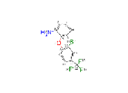 Nc1ccccc1Oc1ccc(C(F)(F)F)cc1Br